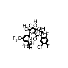 [2H]C([2H])([2H])c1cc(C(F)(F)F)cc(N2C(=O)[C@@](C)(O)[C@@H](O)[C@H]2C(=O)N(c2cc(Cl)c(F)cc2F)C([2H])([2H])[2H])n1